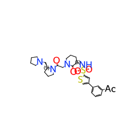 CC(=O)c1cccc(-c2csc(S(=O)(=O)N[C@H]3CCCN(CC(=O)N4CCC[C@H]4CN4CCCC4)C3=O)c2)c1